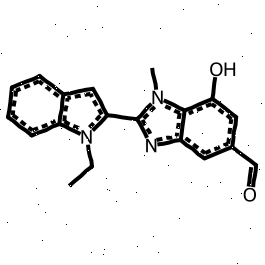 CCn1c(-c2nc3cc(C=O)cc(O)c3n2C)cc2ccccc21